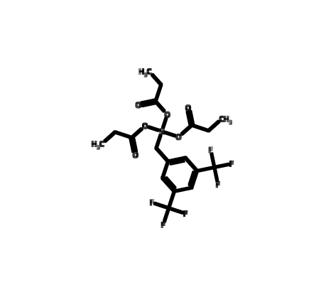 CCC(=O)O[Si](Cc1cc(C(F)(F)F)cc(C(F)(F)F)c1)(OC(=O)CC)OC(=O)CC